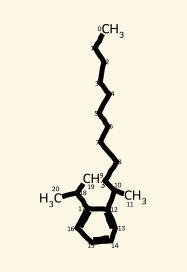 CCCCCCCCCCC(C)c1ccccc1C(C)C